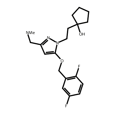 CNCc1cc(OCc2cc(F)ccc2F)n(CCC2(O)CCCC2)n1